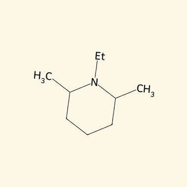 [CH2]CN1C(C)CCCC1C